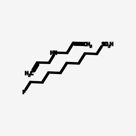 C=CCNCC=C.O=S(=O)(O)CCCCCCCCF